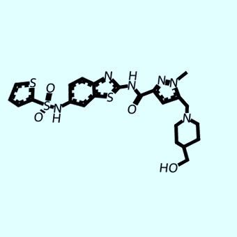 Cn1nc(C(=O)Nc2nc3ccc(NS(=O)(=O)c4cccs4)cc3s2)cc1CN1CCC(CO)CC1